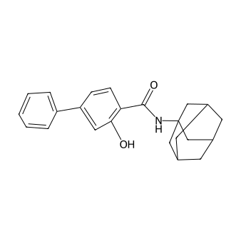 O=C(NC12CC3CC(CC(C3)C1)C2)c1ccc(-c2ccccc2)cc1O